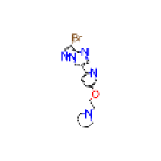 Brc1cnn2cc(-c3ccc(OCCN4CCCCC4)cn3)cnc12